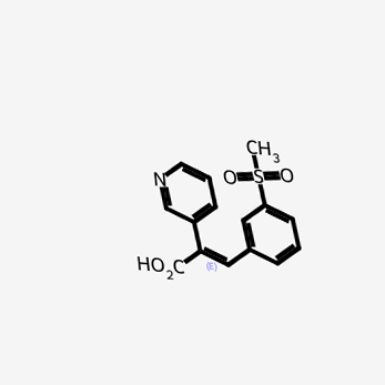 CS(=O)(=O)c1cccc(/C=C(/C(=O)O)c2cccnc2)c1